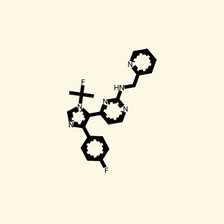 CC(C)(F)n1cnc(-c2ccc(F)cc2)c1-c1ccnc(NCc2ccccn2)n1